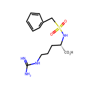 N=C(N)NCCC[C@H](NS(=O)(=O)Cc1ccccc1)C(=O)O